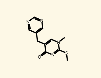 CSc1nc(=O)c(Cc2cncnc2)cn1C